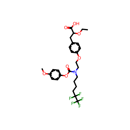 CCOC(Cc1ccc(OCCN(CCCCC(F)(F)C(F)(F)F)C(=O)Oc2ccc(OC)cc2)cc1)C(=O)O